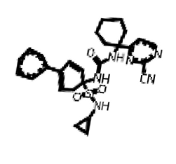 N#Cc1nccc(C2(NC(=O)NC3(S(=O)(=O)NC4CC4)C=CC(c4ccccc4)=CC3)CCCCC2)n1